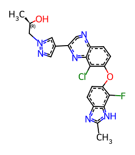 Cc1nc2ccc(Oc3ccc4ncc(-c5cnn(C[C@@H](C)O)c5)nc4c3Cl)c(F)c2[nH]1